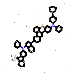 CC1(C)c2ccccc2-c2ccc(N(c3ccccc3)c3ccc(-c4ccc5cc6c7c(cccc7c5c4)Sc4cc(N(c5ccccc5)c5ccc(-c7ccccc7)cc5)ccc4-6)c4ccccc34)cc21